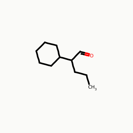 CCCC([C]=O)C1CCCCC1